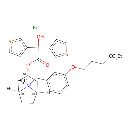 CCOC(=O)CCCOc1cccc(C[N+]2(C)[C@@H]3CC[C@H]2C[C@H](OC(=O)C(O)(c2ccsc2)c2ccsc2)C3)c1.[Br-]